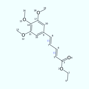 CCOC(=O)/C=C/C=C/c1cc(OC)c(OC)c(OC)c1